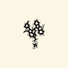 Cc1ccc2c(c1)C1C(C3C=CC=CC3C1[Si](C)(CCCCCCOC(C)(C)C)C1C3C=CC=CC3C3C1c1ccccc1N3C)N2C